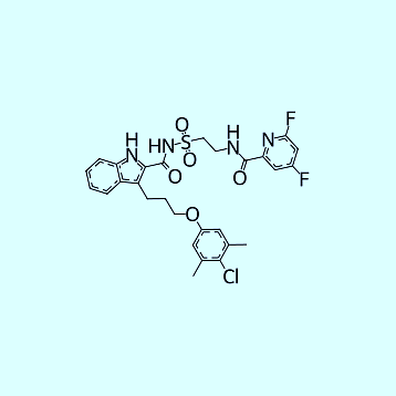 Cc1cc(OCCCc2c(C(=O)NS(=O)(=O)CCNC(=O)c3cc(F)cc(F)n3)[nH]c3ccccc23)cc(C)c1Cl